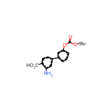 CC(C)(C)OC(=O)Oc1cccc(-c2ccc(C(=O)O)c(N)c2)c1